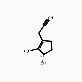 C#CCC1=C(C)[C@@H](O)CC1